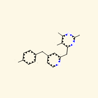 CCc1nc(C)nc(Cc2cc(Cc3ccc(C)cc3)ccn2)c1C